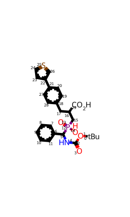 CC(C)(C)OC(=O)NC(c1ccccc1)P(=O)(O)CC(Cc1ccc(-c2ccsc2)cc1)C(=O)O